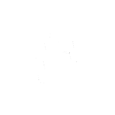 CC(C)CC(N)C(=O)O.COC(=O)CCC(=O)O.CSCCC(N)C(=O)O